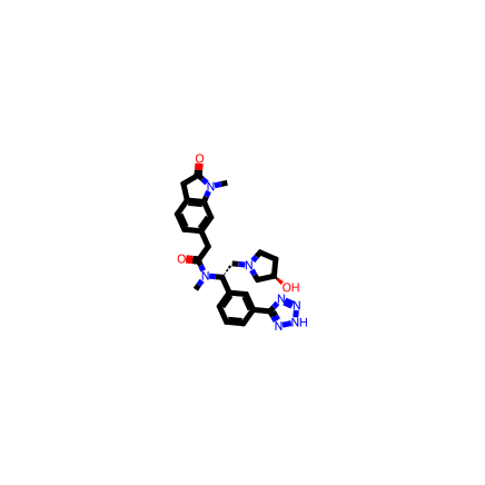 CN1C(=O)Cc2ccc(CC(=O)N(C)[C@H](CN3CC[C@@H](O)C3)c3cccc(-c4nn[nH]n4)c3)cc21